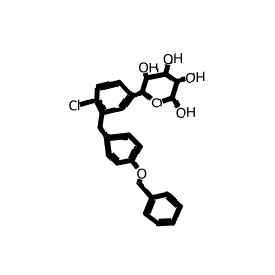 OC1OC(c2ccc(Cl)c(Cc3ccc(OCc4ccccc4)cc3)c2)C(O)C(O)C1O